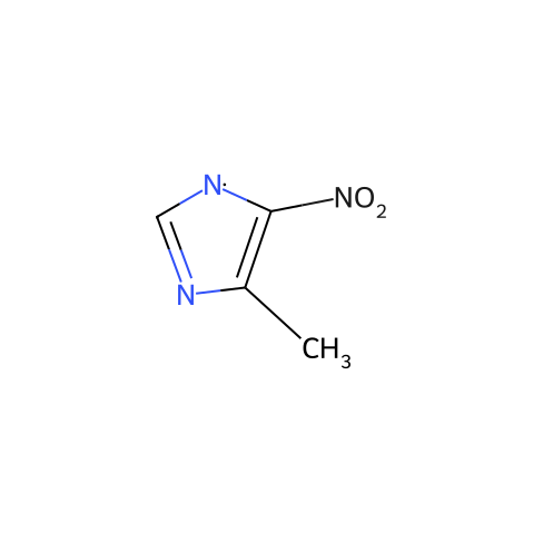 CC1=C([N+](=O)[O-])[N]C=N1